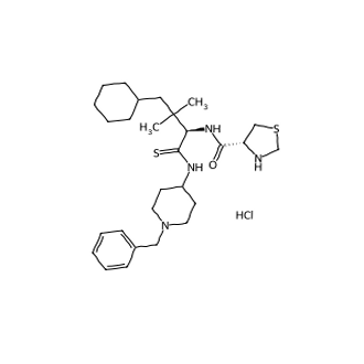 CC(C)(CC1CCCCC1)[C@@H](NC(=O)[C@@H]1CSCN1)C(=S)NC1CCN(Cc2ccccc2)CC1.Cl